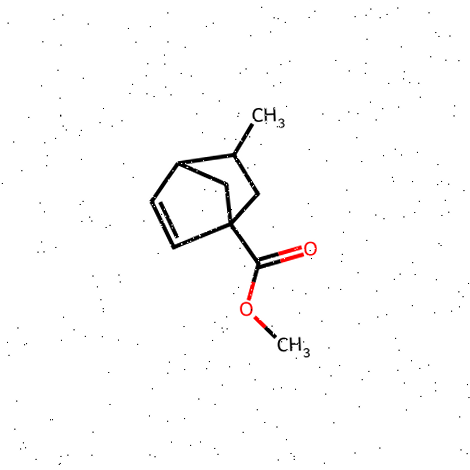 COC(=O)C12C=CC(C1)C(C)C2